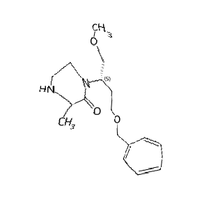 COC[C@H](CCOCc1ccccc1)N1CCNC(C)C1=O